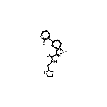 O=C(NCC1CCCO1)c1n[nH]c2ccc(-c3cccnc3F)cc12